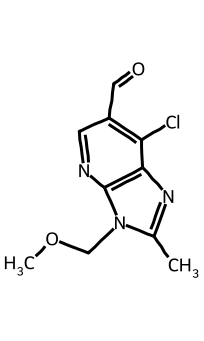 COCn1c(C)nc2c(Cl)c(C=O)cnc21